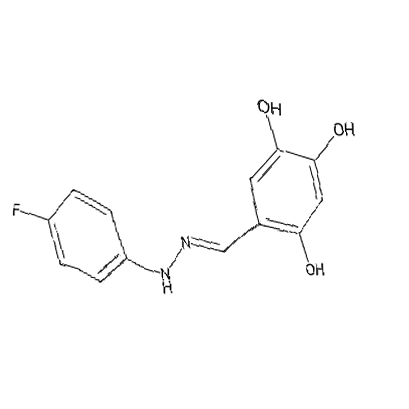 Oc1cc(O)c(/C=N/Nc2ccc(F)cc2)cc1O